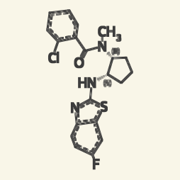 CN(C(=O)c1ccccc1Cl)[C@@H]1CCC[C@@H]1Nc1nc2ccc(F)cc2s1